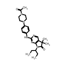 CCC(CC)N1C(=O)C(C)(C)c2cnc(Nc3ccc(N4CCN(C(C)=O)CC4)cc3)nc21